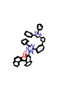 c1ccc(-c2cc(-c3cccc(-c4cccc(-c5nc(-c6ccccc6)nc(-c6cc7ccccc7c7c6oc6ccc8ccccc8c67)n5)c4)c3)nc(-c3ccccc3)n2)cc1